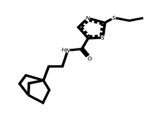 CCSc1ncc(C(=O)NCCC23CCC(CC2)C3)s1